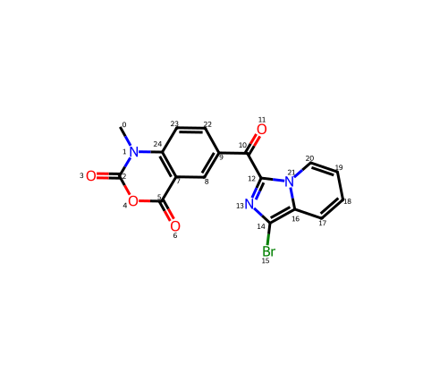 Cn1c(=O)oc(=O)c2cc(C(=O)c3nc(Br)c4ccccn34)ccc21